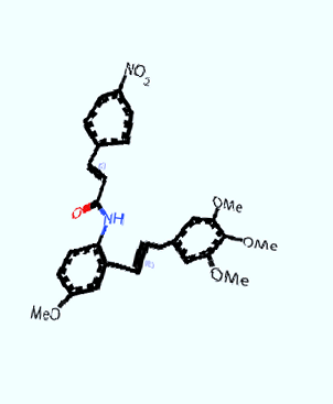 COc1ccc(NC(=O)/C=C/c2ccc([N+](=O)[O-])cc2)c(/C=C/c2cc(OC)c(OC)c(OC)c2)c1